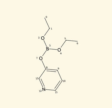 CCOB(OCC)Oc1cccnc1